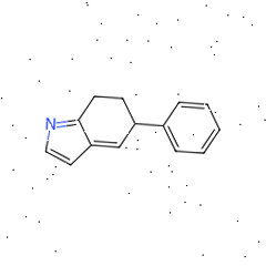 C1=CC2=CC(c3ccccc3)CCC2=N1